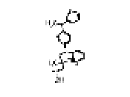 C=C(c1ccccc1)c1ccc(C(CC(C)(C)CPBI)c2ccccc2)cc1